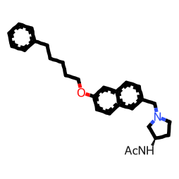 CC(=O)N[C@@H]1CCN(Cc2ccc3cc(OCCCCCc4ccccc4)ccc3c2)C1